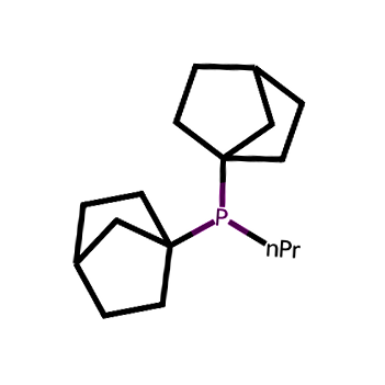 CCCP(C12CCC(CC1)C2)C12CCC(CC1)C2